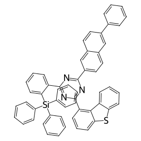 c1ccc(-c2ccc3cc(-c4nc(-c5ccccc5[Si](c5ccccc5)(c5ccccc5)c5ccccc5)nc(-c5cccc6sc7ccccc7c56)n4)ccc3c2)cc1